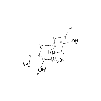 CCCCOCCO.O.OCCNCCO